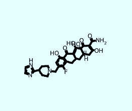 NC(=O)C1=C(O)C[C@@H]2CC3Cc4c(F)c(CN5CCC(c6ncc[nH]6)CC5)cc(O)c4C(=O)C3=C(O)[C@]2(O)C1=O